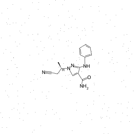 C[C@H](CC#N)n1cc(C(N)=O)c(Nc2ccccc2)n1